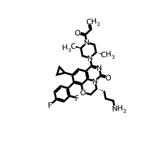 C=CC(=O)N1C[C@H](C)N(c2nc(=O)n3c4c(c(-c5ccc(F)cc5F)c(C5CC5)cc24)OC[C@H]3CCCN)C[C@H]1C